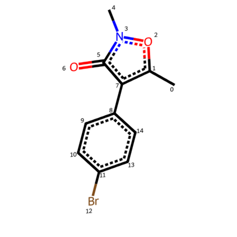 Cc1on(C)c(=O)c1-c1ccc(Br)cc1